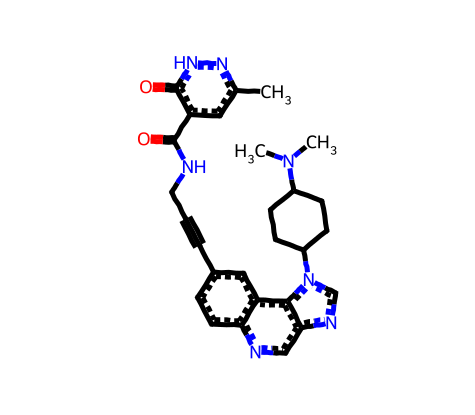 Cc1cc(C(=O)NCC#Cc2ccc3ncc4ncn(C5CCC(N(C)C)CC5)c4c3c2)c(=O)[nH]n1